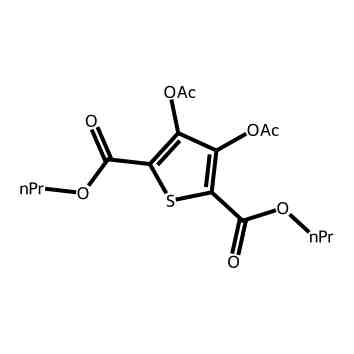 CCCOC(=O)c1sc(C(=O)OCCC)c(OC(C)=O)c1OC(C)=O